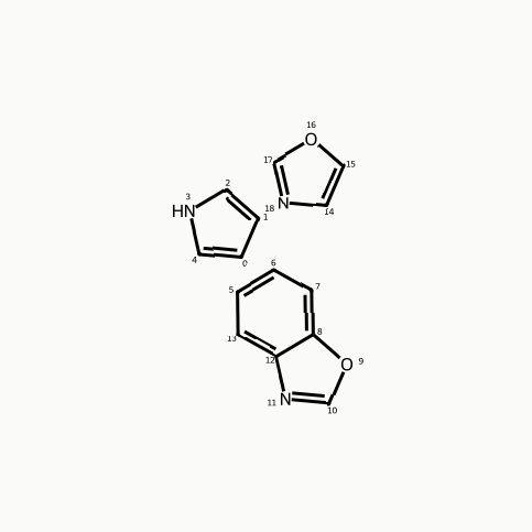 c1cc[nH]c1.c1ccc2ocnc2c1.c1cocn1